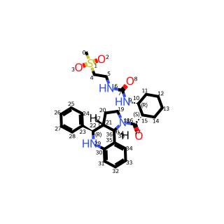 CS(=O)(=O)CCNC(=O)N[C@@H]1CCCC[C@@H]1C(=O)N1CC[C@H]2[C@H](c3ccccc3)Nc3ccccc3[C@@H]21